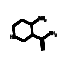 C=C(N)C1CNCCC1N